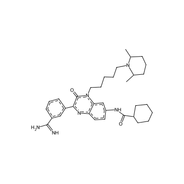 CC1CCCC(C)N1CCCCCn1c(=O)c(-c2cccc(C(=N)N)c2)nc2ccc(NC(=O)C3CCCCC3)cc21